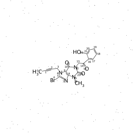 CC#CCn1c(Br)nc2c1c(=O)n(CC(=O)c1ccccc1O)c(=O)n2C